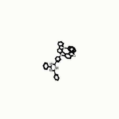 c1ccc(C2NC(c3ccccc3)NC(c3ccc(-n4c5ccc6oc7ccccc7c6c5c5c4ccc4c6ccccc6n(-c6ccccc6)c45)cc3)N2)cc1